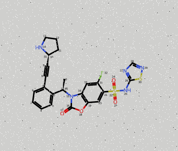 C[C@H](c1ccccc1C#C[C@@H]1CCCN1)n1c(=O)oc2cc(S(=O)(=O)Nc3ncns3)c(F)cc21